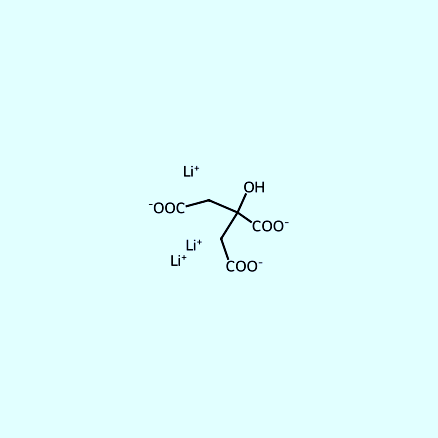 O=C([O-])CC(O)(C[13C](=O)[O-])C(=O)[O-].[Li+].[Li+].[Li+]